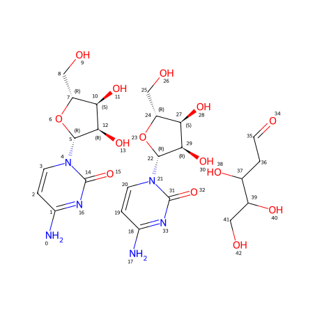 Nc1ccn([C@@H]2O[C@H](CO)[C@@H](O)[C@H]2O)c(=O)n1.Nc1ccn([C@@H]2O[C@H](CO)[C@@H](O)[C@H]2O)c(=O)n1.O=CCC(O)C(O)CO